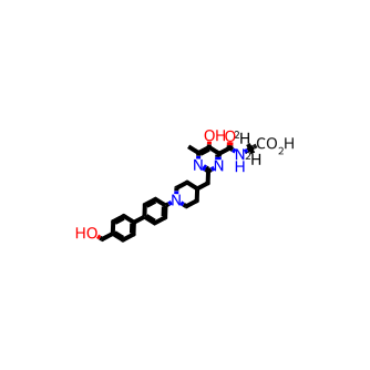 [2H]C([2H])(NC(=O)c1nc(CC2CCN(c3ccc(-c4ccc(CO)cc4)cc3)CC2)nc(C)c1O)C(=O)O